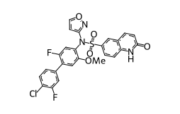 COc1cc(-c2ccc(Cl)c(F)c2)c(F)cc1N(c1ccon1)S(=O)(=O)c1ccc2[nH]c(=O)ccc2c1